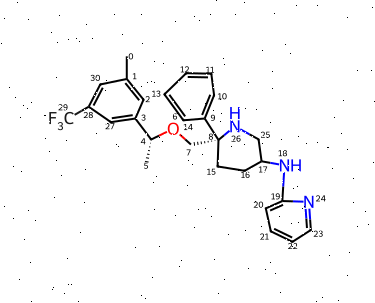 Cc1cc([C@@H](C)OC[C@@]2(c3ccccc3)CCC(Nc3ccccn3)CN2)cc(C(F)(F)F)c1